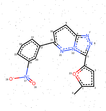 Cc1ccc(-c2nnc3ccc(-c4cccc([N+](=O)[O-])c4)nn23)o1